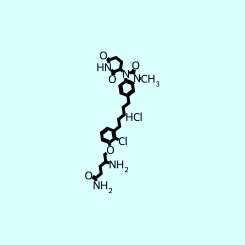 Cl.Cn1c(=O)n(C2CCC(=O)NC2=O)c2ccc(CCCCCc3cccc(OCC(N)CCC(N)=O)c3Cl)cc21